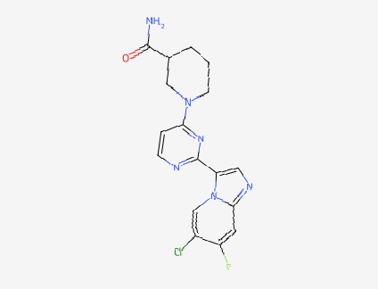 NC(=O)C1CCCN(c2ccnc(-c3cnc4cc(F)c(Cl)cn34)n2)C1